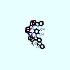 CC1(C)c2ccccc2-c2ccc3c(c21)c1ccccc1n3-c1c(C#N)c(C#N)c(-n2c3ccccc3c3ccccc32)c(-n2c3ccccc3c3ccccc32)c1-n1c2ccccc2c2ccccc21